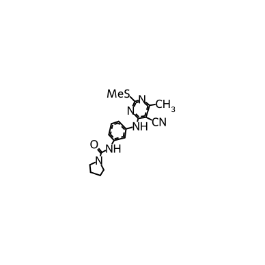 CSc1nc(C)c(C#N)c(Nc2cccc(NC(=O)N3CCCC3)c2)n1